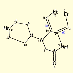 CC/C=C1/NC(=O)CN(C2CCNCC2)/C1=C/CC